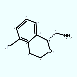 NC[C@@H]1OCCc2c(F)cccc21